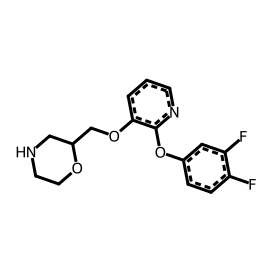 Fc1ccc(Oc2ncccc2OCC2CNCCO2)cc1F